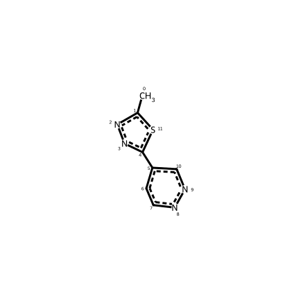 Cc1nnc(-c2ccnnc2)s1